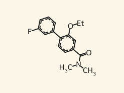 CCOc1cc(C(=O)N(C)C)ccc1-c1cccc(F)c1